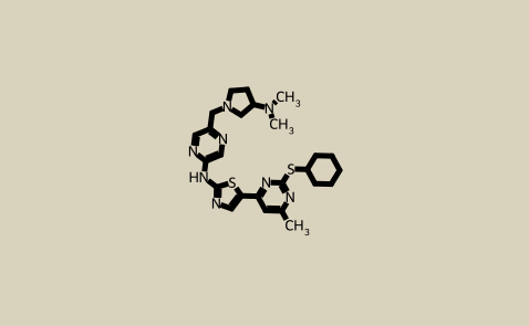 Cc1cc(-c2cnc(Nc3cnc(CN4CCC(N(C)C)C4)cn3)s2)nc(SC2CCCCC2)n1